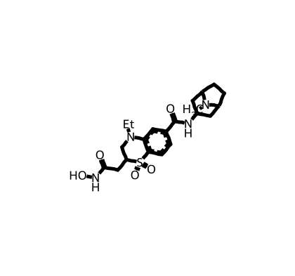 CCN1CC(CC(=O)NO)S(=O)(=O)c2ccc(C(=O)NC3CC4CCC(C3)N4C)cc21